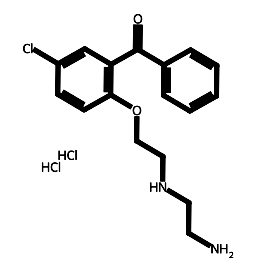 Cl.Cl.NCCNCCOc1ccc(Cl)cc1C(=O)c1ccccc1